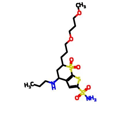 CCCNC1CC(CCCOCCCOC)S(=O)(=O)c2sc(S(N)(=O)=O)cc21